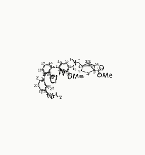 COC(=O)C12CCC(CN(C)Cc3ccc(-c4cccc(-c5cccc(N)c5C)c4Cl)nc3OC)(CC1)C2